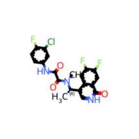 C[C@H](c1c[nH]c(=O)c2cc(F)c(F)cc12)N(C)C(=O)C(=O)Nc1ccc(F)c(Cl)c1